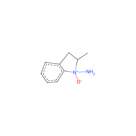 CC1Cc2ccccc2[N+]1(N)[O-]